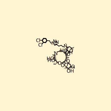 CC[C@H]1OC(=O)[C@H](C)[C@@H](O[C@H]2C[C@@](C)(OC)[C@@H](O)[C@H](C)O2)[C@H](C)[C@@H](O[C@@H]2O[C@H](C)C[C@H](N(C)CCCc3cn(CCc4ccc(Cl)c(Cl)c4)nn3)[C@H]2O)[C@](C)(O)C[C@@H](C)CN(C)[C@H](C)[C@@H](O)[C@]1(C)O